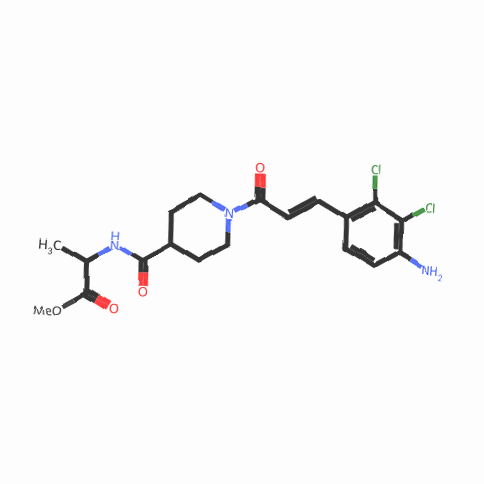 COC(=O)C(C)NC(=O)C1CCN(C(=O)/C=C/c2ccc(N)c(Cl)c2Cl)CC1